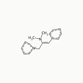 CN(C)C(=Cc1ccccc1)C[n+]1ccccc1